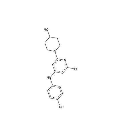 Oc1ccc(Nc2cc(Cl)nc(N3CCC(O)CC3)c2)cc1